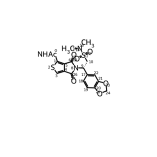 CC(=O)Nc1scc2c1C(=O)N([C@H](CS(=O)(=O)N(C)C)c1ccc3c(c1)OCO3)C2=O